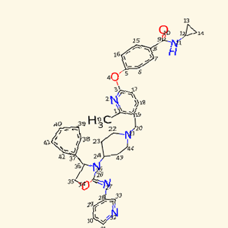 Cc1nc(Oc2ccc(C(=O)NC3CC3)cc2)ccc1CN1CCC(N2C(=Nc3cccnc3)OCC2c2ccccc2)CC1